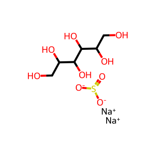 O=S([O-])[O-].OCC(O)C(O)C(O)C(O)CO.[Na+].[Na+]